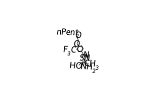 CCCCCOCCOc1ccc(-c2nnc([C@@](C)(N)CO)s2)cc1C(F)(F)F